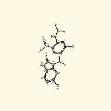 CC(C)Nc1cc(Cl)ccc1[N+](=O)[O-].CC(C)n1c(=O)[nH]c2ccc(Cl)cc21